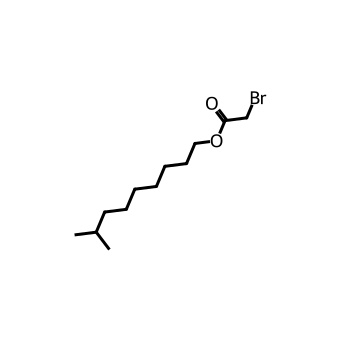 CC(C)CCCCCCCOC(=O)CBr